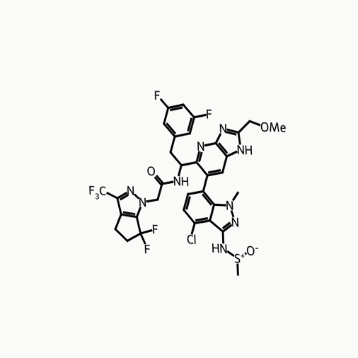 COCc1nc2nc(C(Cc3cc(F)cc(F)c3)NC(=O)Cn3nc(C(F)(F)F)c4c3C(F)(F)CC4)c(-c3ccc(Cl)c4c(N[S+](C)[O-])nn(C)c34)cc2[nH]1